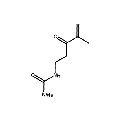 C=C(C)C(=O)CCNC(=O)NC